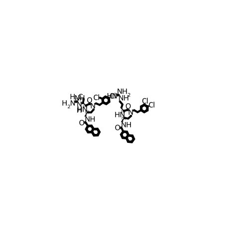 CCC(NC(=N)N)[C@@H]1N[C@H](CNC(=O)c2ccc3ccccc3c2)CCN(CCc2ccc(Cl)cc2Cl)C1=O.N=C(N)NCCC[C@@H]1N[C@H](CNC(=O)c2ccc3ccccc3c2)CCN(CCc2ccc(Cl)c(Cl)c2)C1=O